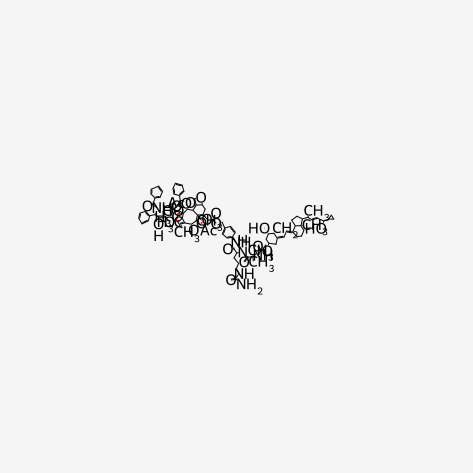 C=C1/C(=C\C=C2/CCC[C@@]3(C)C2CCC3[C@@H](C)/C=C/C(O)C2CC2)C[C@@H](OC(=O)NC(C)(C)C(=O)NC(CCCNC(N)=O)C(=O)Nc2ccc(COC(=O)OC3CC4OCC4(OC(C)=O)C4C(OC(=O)c5ccccc5)C5(O)CC(OC(=O)C(O)C(NC(=O)c6ccccc6)c6ccccc6)C(C)=C(C(OC(C)=O)C(=O)C34C)C5(C)C)cc2)C[C@@H]1O